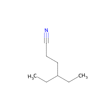 CCC(CC)CCC#N